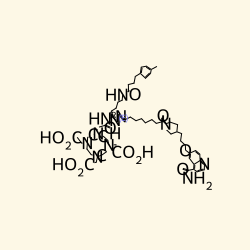 Cc1ccc(CCCC(=O)NCCCC[C@@H](N/N=C/CCCCCCC(=O)N2CCC(CCCOc3ccc4nccc(C(N)=O)c4c3)CC2)NC(=O)CN2CCN(CC(=O)O)CCN(CC(=O)O)CCN(CC(=O)O)CC2)cc1